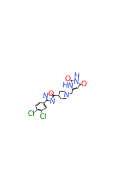 O=c1cc(CN2CCC(c3nc(-c4ccc(Cl)c(Cl)c4)no3)CC2)[nH]c(=O)[nH]1